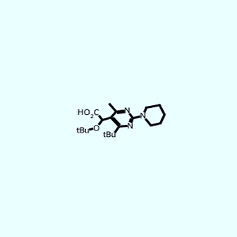 Cc1nc(N2CCCCC2)nc(C(C)(C)C)c1C(OC(C)(C)C)C(=O)O